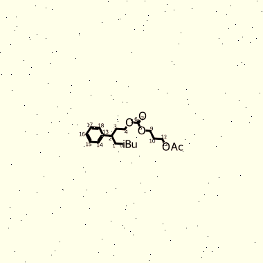 CCC(C)CC(CCOC(=O)OCCCOC(C)=O)c1ccccc1